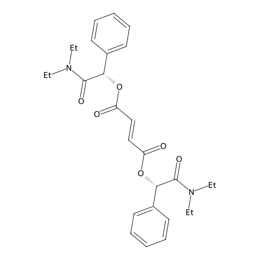 CCN(CC)C(=O)[C@@H](OC(=O)/C=C/C(=O)O[C@H](C(=O)N(CC)CC)c1ccccc1)c1ccccc1